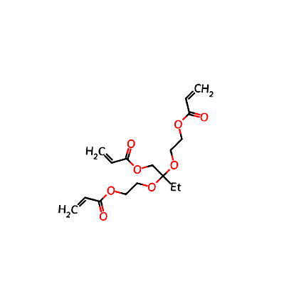 C=CC(=O)OCCOC(CC)(COC(=O)C=C)OCCOC(=O)C=C